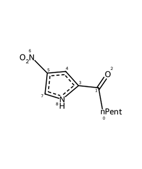 CCCCCC(=O)c1cc([N+](=O)[O-])c[nH]1